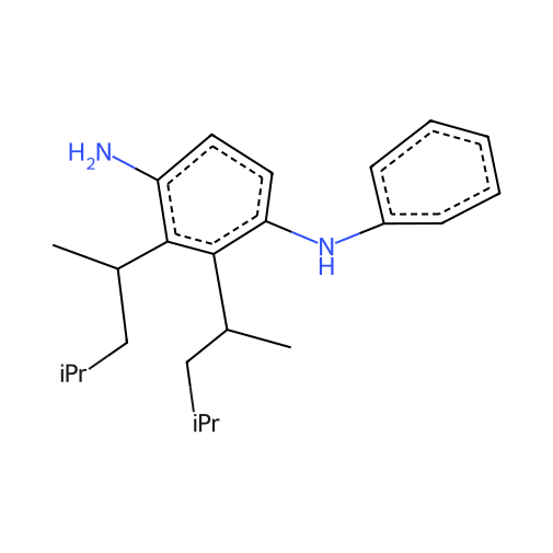 CC(C)CC(C)c1c(N)ccc(Nc2ccccc2)c1C(C)CC(C)C